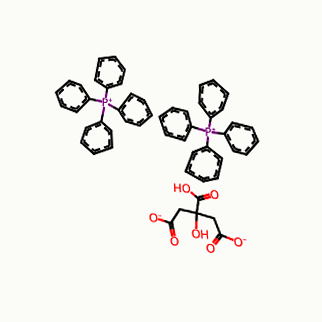 O=C([O-])CC(O)(CC(=O)[O-])C(=O)O.c1ccc([P+](c2ccccc2)(c2ccccc2)c2ccccc2)cc1.c1ccc([P+](c2ccccc2)(c2ccccc2)c2ccccc2)cc1